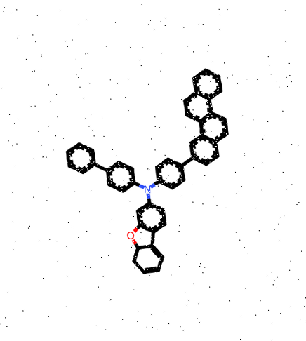 C1=CCC2Oc3cc(N(c4ccc(-c5ccccc5)cc4)c4ccc(-c5ccc6ccc7c8ccccc8ccc7c6c5)cc4)ccc3C2=C1